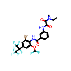 CCN(C)C(=O)C(=O)Nc1cccc(C(=O)Nc2c(Br)cc(C(F)(C(F)(F)F)C(F)(F)F)cc2OC(F)F)c1